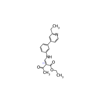 CCOC(=O)/C(=C\Nc1cccc(-c2ccnc(CC)c2)c1)C(C)=O